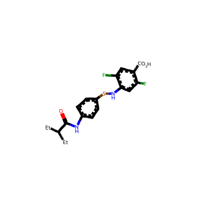 CCC(CC)C(=O)Nc1ccc(SNc2cc(F)c(C(=O)O)cc2F)cc1